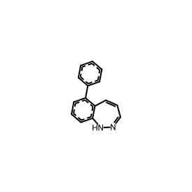 C1=Cc2c(cccc2-c2ccccc2)NN=C1